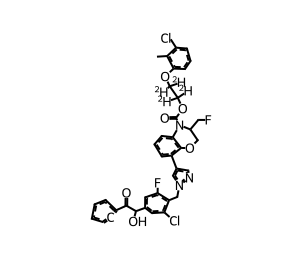 [2H]C([2H])(OC(=O)N1c2cccc(-c3cnn(Cc4c(F)cc(C(O)C(=O)c5ccccc5)cc4Cl)c3)c2OCC1CF)C([2H])([2H])Oc1cccc(Cl)c1C